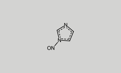 O=Nn1ccnc1